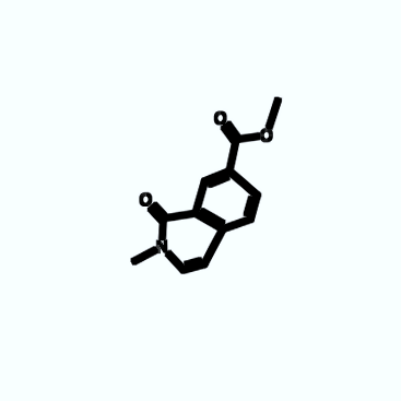 COC(=O)c1ccc2ccn(C)c(=O)c2c1